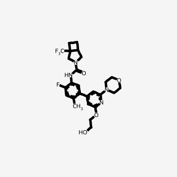 Cc1cc(F)c(NC(=O)N2CC3CCC3(C(F)(F)F)C2)cc1-c1cc(OCCO)nc(N2CCOCC2)c1